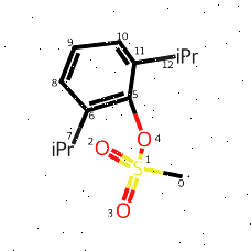 [CH2]S(=O)(=O)Oc1c(C(C)C)cccc1C(C)C